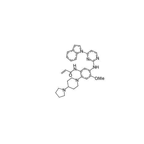 C=CC(=O)Nc1cc(Nc2nccc(-n3ccc4ccccc43)n2)c(OC)cc1N1CCC(N2CCCC2)CC1